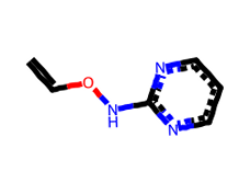 C=CONc1ncccn1